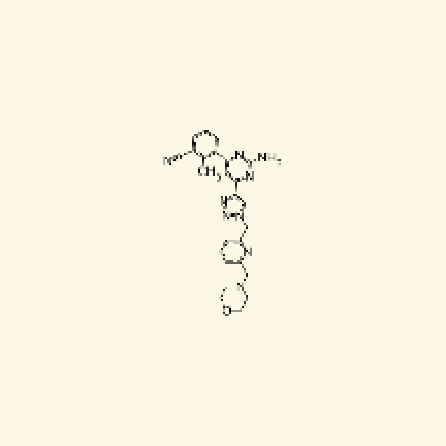 Cc1c(C#N)cccc1-c1cc(-c2cn(Cc3cccc(CN4CCOCC4)n3)nn2)nc(N)n1